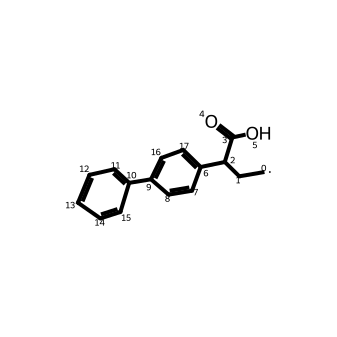 [CH2]CC(C(=O)O)c1ccc(-c2ccccc2)cc1